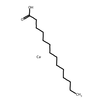 CCCCCCCCCCCCCC(=O)O.[Ca]